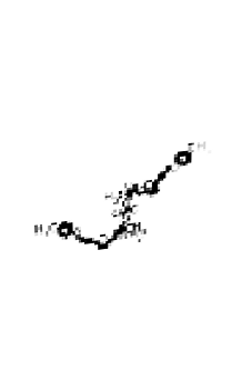 Cc1ccc(OCC#Cc2ccc(CC[C@@](C)(N)COC(=O)C(=O)OC[C@](C)(N)CCc3ccc(C#CCOc4ccc(C)cc4)o3)o2)cc1